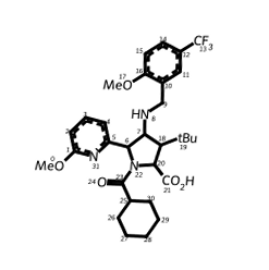 COc1cccc(C2C(NCc3cc(C(F)(F)F)ccc3OC)C(C(C)(C)C)C(C(=O)O)N2C(=O)C2CCCCC2)n1